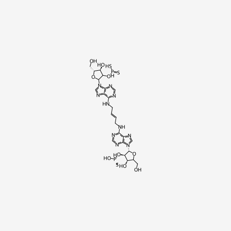 OCC1O[C@@H](n2cnc3c(NC/C=C/CNc4ncnc5c4ncn5C4O[C@H](CO)[C@@H](O)C4O[PH](=S)S)ncnc32)[C@H](O[PH](O)=S)[C@@H]1O